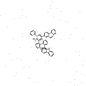 COc1cccc(/C(N)=N/C(=N\Cc2ccccc2)c2ccc3c(ccc4ccccc43)c2)c1-c1ccccc1-c1cccc2c1oc1ccccc12